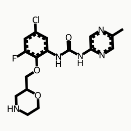 Cc1cnc(NC(=O)Nc2cc(Cl)cc(F)c2OCC2CNCCO2)cn1